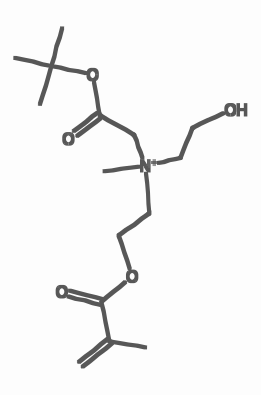 C=C(C)C(=O)OCC[N+](C)(CCO)CC(=O)OC(C)(C)C